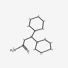 NC(=O)CC(C1CCCCC1)C1CCCCC1